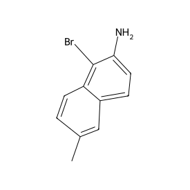 Cc1ccc2c(Br)c(N)ccc2c1